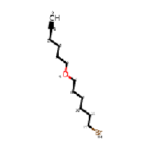 C#CCCCCOCCCCCCBr